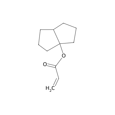 C=CC(=O)OC12CCCC1CCC2